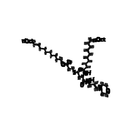 CCCCCCCCC=CCCCCCCCCOC(=O)CCSCCC(NC(=O)CCCCCCC/C=C\CCCCCCCC)C(=O)NCCCN1CCOCC1